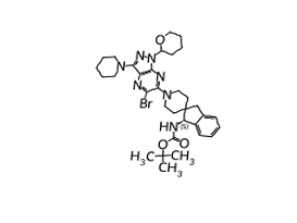 CC(C)(C)OC(=O)N[C@@H]1c2ccccc2CC12CCN(c1nc3c(nc1Br)c(N1CCCCC1)nn3C1CCCCO1)CC2